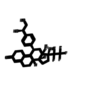 C[C@]12C[C@H](c3ccc([C@@H](O)CO)cc3)C3=C4CCC(=O)C=C4CC[C@H]3[C@@H]1CC[C@@]2(O)C(F)(F)C(F)(F)F